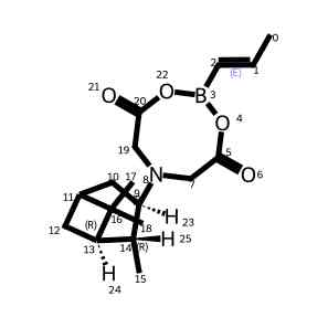 C/C=C/B1OC(=O)CN([C@@H]2CC3C[C@H]([C@H]2C)C3(C)C)CC(=O)O1